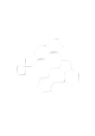 COc1c(Cl)cccc1Nc1c(-c2ccnc3ccc(OC4(C)COC4)nc23)[nH]c2c1C(=O)NCC2